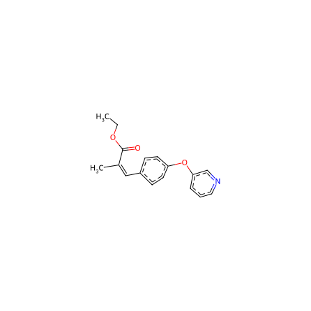 CCOC(=O)C(C)=Cc1ccc(Oc2cccnc2)cc1